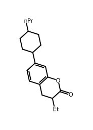 CCCC1CCC(c2ccc3c(c2)OC(=O)C(CC)C3)CC1